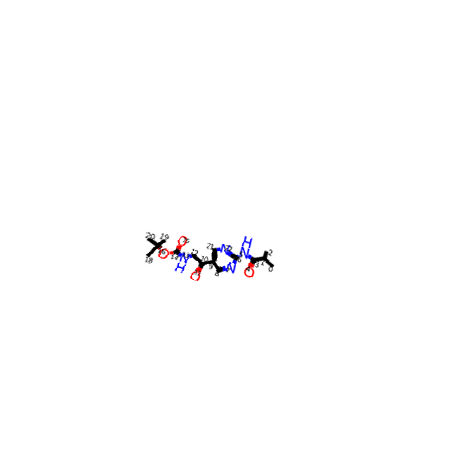 CC(C)C(=O)Nc1ncc(C(=O)CNC(=O)OC(C)(C)C)cn1